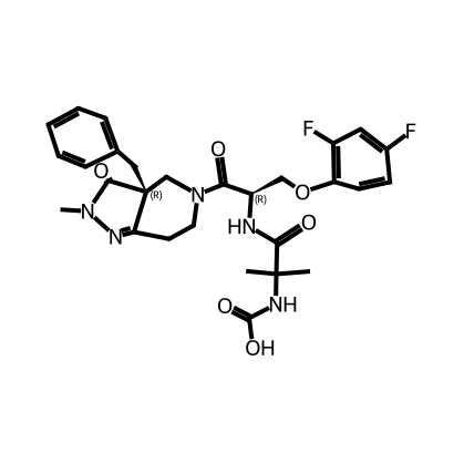 CN1N=C2CCN(C(=O)[C@@H](COc3ccc(F)cc3F)NC(=O)C(C)(C)NC(=O)O)C[C@@]2(Cc2ccccc2)C1=O